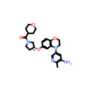 Cc1ncc(N2CCOc3ccc(O[C@H]4CCN(C(=O)C5CCOCC5)C4)cc32)cc1N